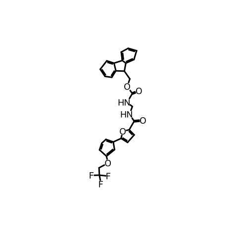 O=C(NCNC(=O)c1ccc(-c2cccc(OCC(F)(F)F)c2)o1)OCC1c2ccccc2-c2ccccc21